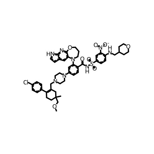 COCC1(C)CCC(c2ccc(Cl)cc2)=C(CN2CCN(c3ccc(C(=O)NS(=O)(=O)c4ccc(NCC5CCOCC5)c([N+](=O)[O-])c4)c(N4CCCOc5nc6[nH]ccc6cc54)c3)CC2)C1